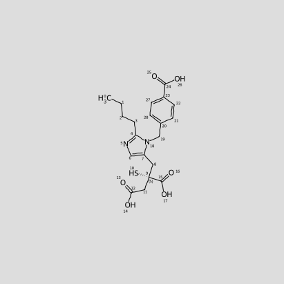 CCCCc1ncc(C[C@](S)(CC(=O)O)C(=O)O)n1Cc1ccc(C(=O)O)cc1